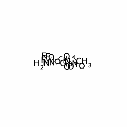 CC(C1CC1)N(Cc1ccccc1)C(=O)CN1C(=O)OC2(CCc3cc(NC(=O)C(N)C(F)(F)F)ccc32)C1=O